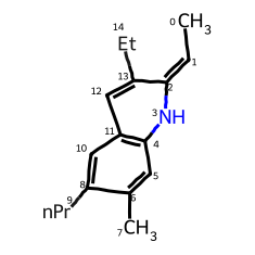 C/C=C1/Nc2cc(C)c(CCC)cc2C=C1CC